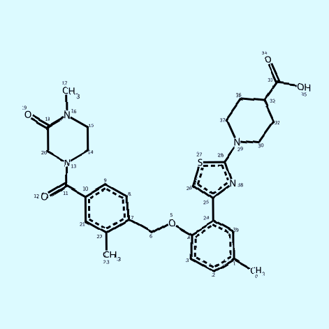 Cc1ccc(OCc2ccc(C(=O)N3CCN(C)C(=O)C3)cc2C)c(-c2csc(N3CCC(C(=O)O)CC3)n2)c1